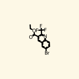 CCOC(=O)c1cc2cc(Br)ccc2nc1C(F)(F)F